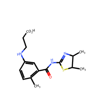 Cc1ccc(NCCC(=O)O)cc1C(=O)NC1=NC(C)C(C)S1